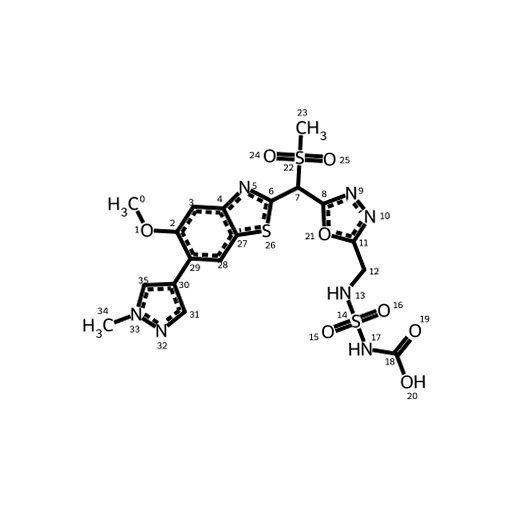 COc1cc2nc(C(c3nnc(CNS(=O)(=O)NC(=O)O)o3)S(C)(=O)=O)sc2cc1-c1cnn(C)c1